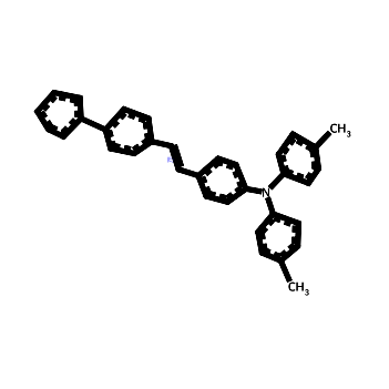 Cc1ccc(N(c2ccc(C)cc2)c2ccc(/C=C/c3ccc(-c4ccccc4)cc3)cc2)cc1